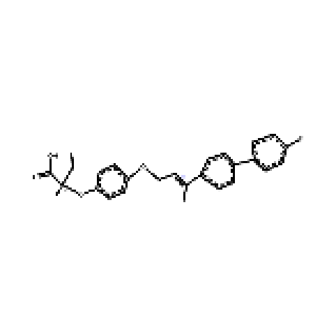 CC[C@](C)(Oc1ccc(OC/C=C(\C)c2ccc(-c3ccc(F)cc3)cc2)cc1)C(=O)O